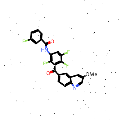 COc1cnc2ccc(C(=O)c3c(F)c(F)cc(NC(=O)c4cccc(F)c4)c3F)cc2c1